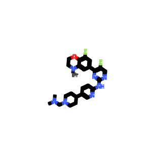 CC(C)N1CCOc2c(F)cc(-c3nc(Nc4ccc(C5CCN(CN(C)C)CC5)cn4)ncc3F)cc21